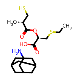 CCSC[C@H](OC(=O)[C@H](C)CS)C(=O)O.NC12CC3CC(CC(C3)C1)C2